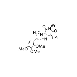 CCCn1c(=O)c2c(nc(C=Cc3ccc(OC)c(OC)c3OC)n2C)n(CCC)c1=O